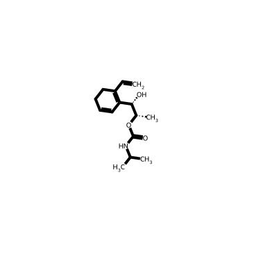 C=CC1=C([C@H](O)[C@H](C)OC(=O)NC(C)C)C=CCC1